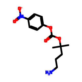 CC(C)(CCCN)OC(=O)Oc1ccc([N+](=O)[O-])cc1